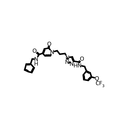 O=C(NCc1ccccc1)c1ccn(CCCn2cc(C(=O)NCc3cccc(OC(F)(F)F)c3)nn2)c(=O)c1